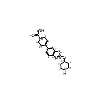 O=C(O)N1CC=C(c2ccc3nc(OC4CCNCC4)sc3c2)CC1